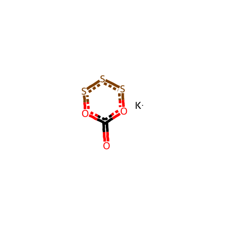 O=c1ossso1.[K]